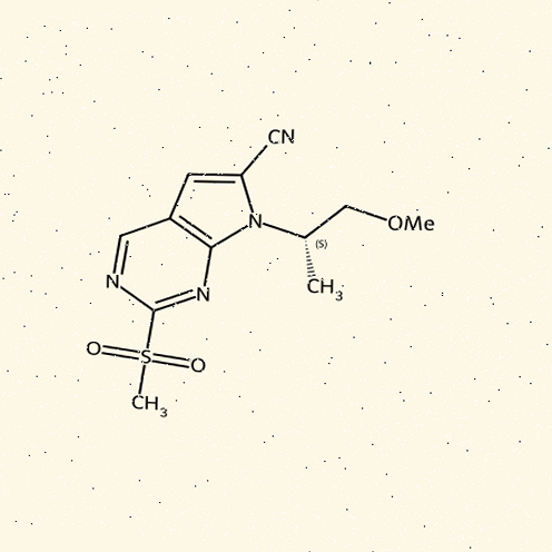 COC[C@H](C)n1c(C#N)cc2cnc(S(C)(=O)=O)nc21